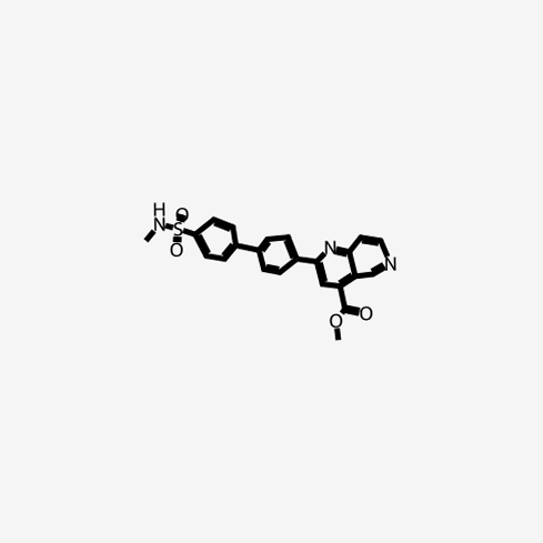 CNS(=O)(=O)c1ccc(-c2ccc(-c3cc(C(=O)OC)c4cnccc4n3)cc2)cc1